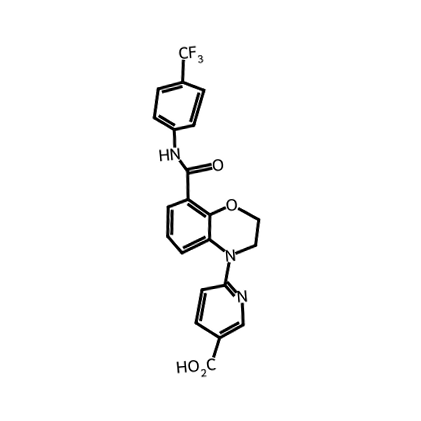 O=C(O)c1ccc(N2CCOc3c(C(=O)Nc4ccc(C(F)(F)F)cc4)cccc32)nc1